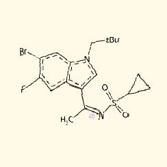 C/C(=N/S(=O)(=O)C1CC1)c1cn(CC(C)(C)C)c2cc(Br)c(F)cc12